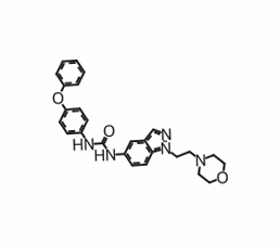 O=C(Nc1ccc(Oc2ccccc2)cc1)Nc1ccc2c(cnn2CCN2CCOCC2)c1